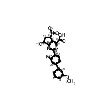 COc1cccc(-c2ccc(-c3nc(C(=O)O)c4c(n3)C(O)CC4[N+](=O)[O-])c(F)c2)c1